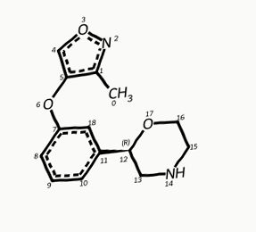 Cc1nocc1Oc1cccc([C@@H]2CNCCO2)c1